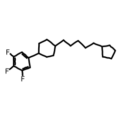 Fc1cc(C2CCC(CCCCCC3CCCC3)CC2)cc(F)c1F